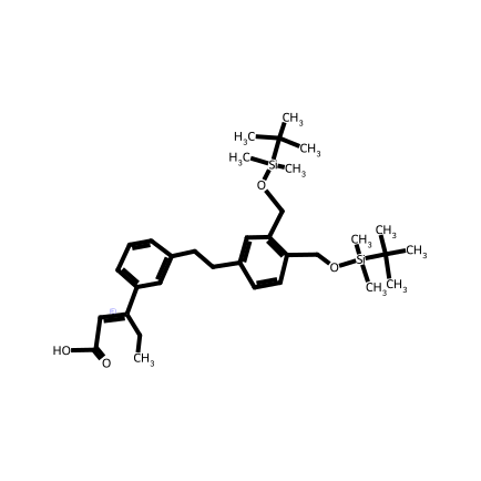 CC/C(=C\C(=O)O)c1cccc(CCc2ccc(CO[Si](C)(C)C(C)(C)C)c(CO[Si](C)(C)C(C)(C)C)c2)c1